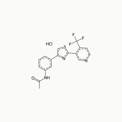 CC(=O)Nc1cccc(-c2csc(-c3cnccc3C(F)(F)F)n2)c1.Cl